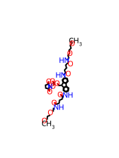 COCCCOCCNC(=O)CCCC(=O)Nc1ccc2c(c1)C(COC(=O)ON1C(=O)CCC1=O)c1cc(NC(=O)CCCC(=O)NCCOCCCOC)ccc1-2